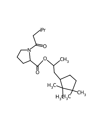 CC(C)CC(=O)N1CCCC1C(=O)OC(C)CC1CCC(C)(C)C1(C)C